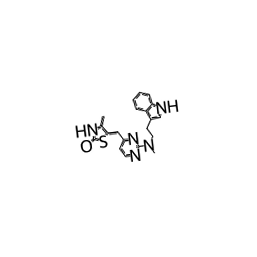 C=c1[nH]c(=O)s/c1=C\c1ccnc(N(C)CCc2c[nH]c3ccccc23)n1